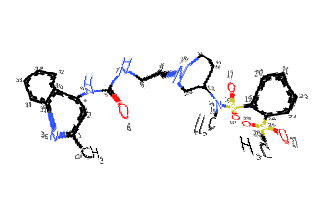 Cc1cc(NC(=O)NCCN2CCC(N(C)S(=O)(=O)c3ccccc3S(C)(=O)=O)C2)c2ccccc2n1